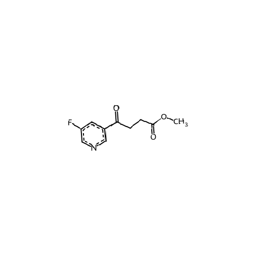 COC(=O)CCC(=O)c1cncc(F)c1